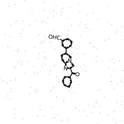 O=Cc1cccc(-c2ccc3nc(C(=O)c4ccccc4)cn3c2)c1